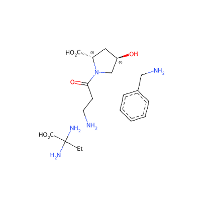 CCC(N)(N)C(=O)O.NCCC(=O)N1C[C@H](O)C[C@H]1C(=O)O.NCc1ccccc1